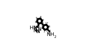 NCc1ccc(-c2ccccc2-c2nnn[nH]2)cc1